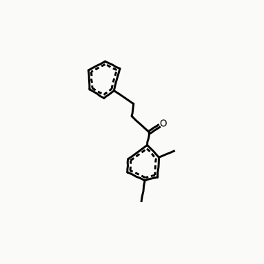 Cc1ccc(C(=O)CCc2ccccc2)c(C)c1